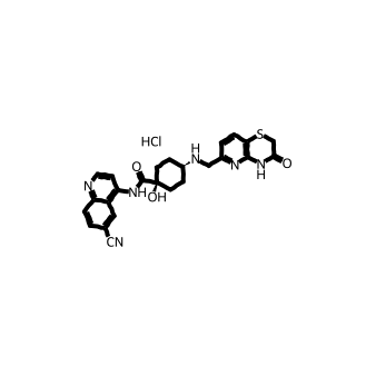 Cl.N#Cc1ccc2nccc(NC(=O)[C@]3(O)CC[C@H](NCc4ccc5c(n4)NC(=O)CS5)CC3)c2c1